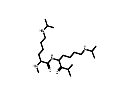 CNC(CCCCNC(C)C)C(=O)NC(CCCCNC(C)C)C(=O)C(C)C